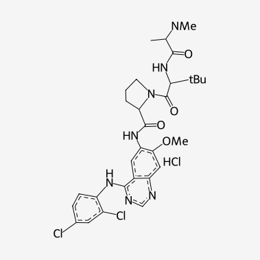 CNC(C)C(=O)NC(C(=O)N1CCCC1C(=O)Nc1cc2c(Nc3ccc(Cl)cc3Cl)ncnc2cc1OC)C(C)(C)C.Cl